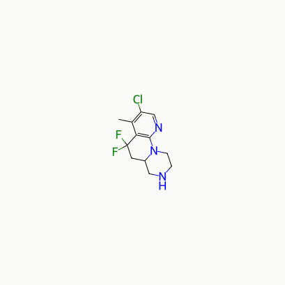 Cc1c(Cl)cnc2c1C(F)(F)CC1CNCCN21